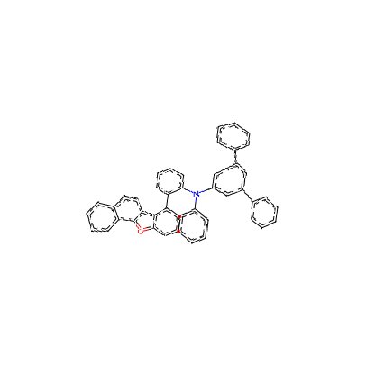 c1ccc(-c2cc(-c3ccccc3)cc(N(c3ccccc3)c3ccccc3-c3cccc4oc5c6ccccc6ccc5c34)c2)cc1